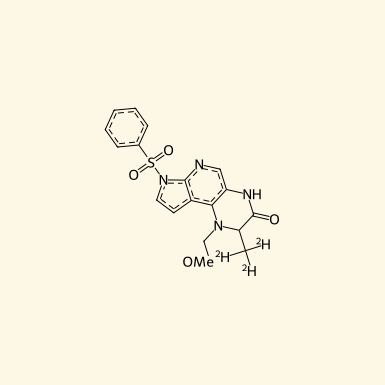 [2H]C([2H])([2H])C1C(=O)Nc2cnc3c(ccn3S(=O)(=O)c3ccccc3)c2N1COC